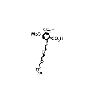 CCCOCCOCCOCCOc1cc(OC)c(C(=O)O)cc1C(=O)O